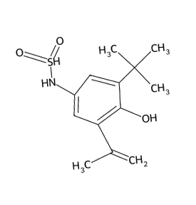 C=C(C)c1cc(N[SH](=O)=O)cc(C(C)(C)C)c1O